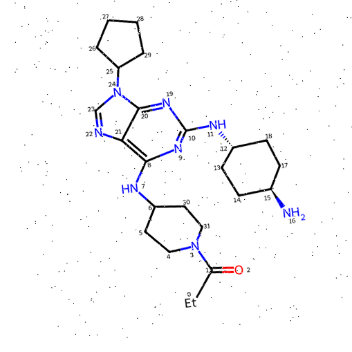 CCC(=O)N1CCC(Nc2nc(N[C@H]3CC[C@H](N)CC3)nc3c2ncn3C2CCCC2)CC1